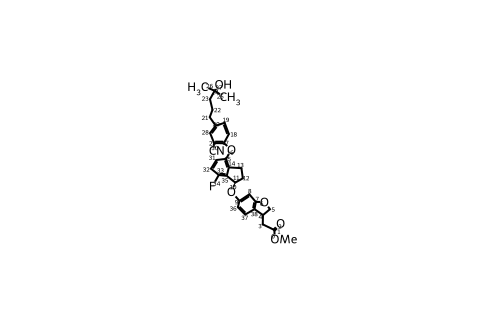 COC(=O)CC1COc2cc(O[C@@H]3CCc4c(Oc5ccc(CCCC(C)(C)O)cc5C#N)ccc(F)c43)ccc21